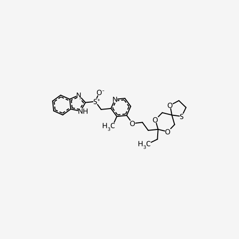 CCC1(CCOc2ccnc(C[S+]([O-])c3nc4ccccc4[nH]3)c2C)OCC2(CO1)OCCS2